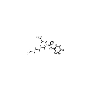 CCCCCCCC(CCCC)C(=O)Oc1ccccc1